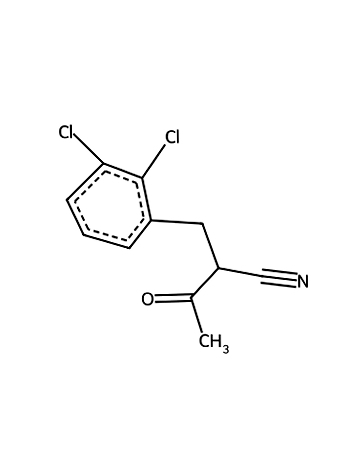 CC(=O)C(C#N)Cc1cccc(Cl)c1Cl